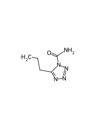 [CH2]CCc1nnnn1C(N)=O